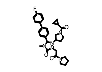 CN1C(=O)N(CC(=O)N2CCCC2)N(C2CCN(C(=O)C3CC3)C2)C1c1ccc(-c2ccc(F)cc2)cc1